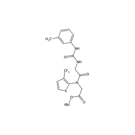 Cc1cccc(NC(=O)NCC(=O)N(CC(=O)OC(C)(C)C)c2sccc2C(F)(F)F)c1